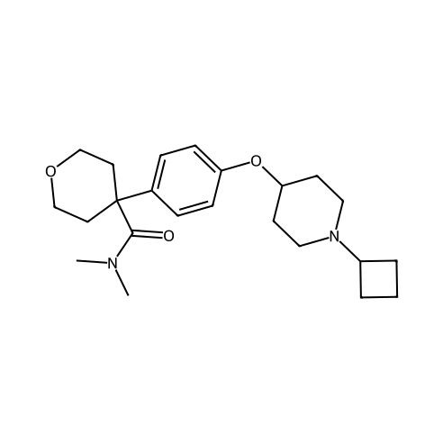 CN(C)C(=O)C1(c2ccc(OC3CCN(C4CCC4)CC3)cc2)CCOCC1